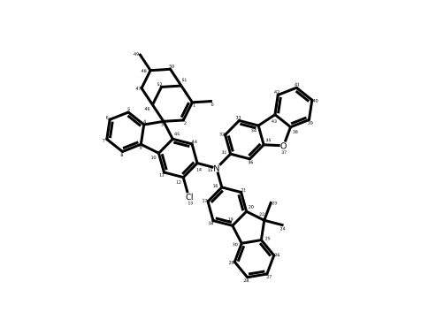 CC1=CC2(c3ccccc3-c3cc(Cl)c(N(c4ccc5c(c4)C(C)(C)c4ccccc4-5)c4ccc5c(c4)oc4ccccc45)cc32)C2CC(C)CC1C2